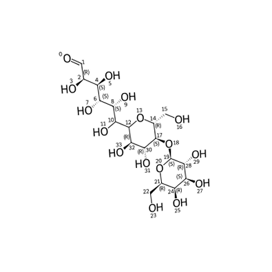 O=C[C@H](O)[C@@H](O)[C@@H](O)[C@H](O)C(O)C1O[C@H](CO)[C@@H](O[C@@H]2O[C@H](CO)[C@H](O)[C@H](O)[C@H]2O)[C@H](O)[C@H]1O